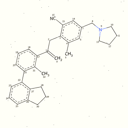 C=C(Cc1c(C)cc(CN2CCCC2)cc1C#N)c1cccc(-c2cccc3c2CCC3)c1C